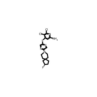 Nc1cc(Sc2cnc(N3CCC4(CC[C@@H](F)C4)CC3)cn2)c(Cl)c(Cl)n1